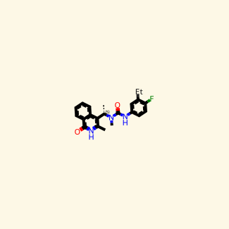 CCc1cc(NC(=O)N(C)[C@@H](C)c2c(C)[nH]c(=O)c3ccccc23)ccc1F